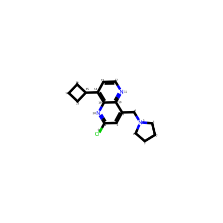 Clc1cc(CN2CCCC2)c2nccc(C3CCC3)c2n1